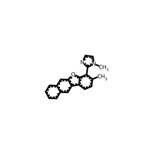 Cc1ccc2c(oc3cc4ccccc4cc32)c1-c1nccn1C